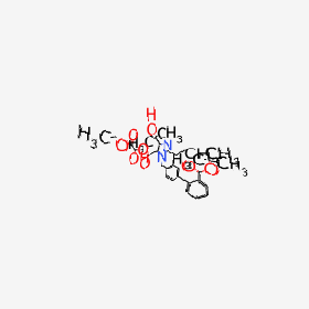 CCCc1nc(C(C)(C)O)c(C(=O)OC(O)C(=O)OCC)n1Cc1ccc(-c2ccccc2C(=O)OC(C)(C)C)cc1